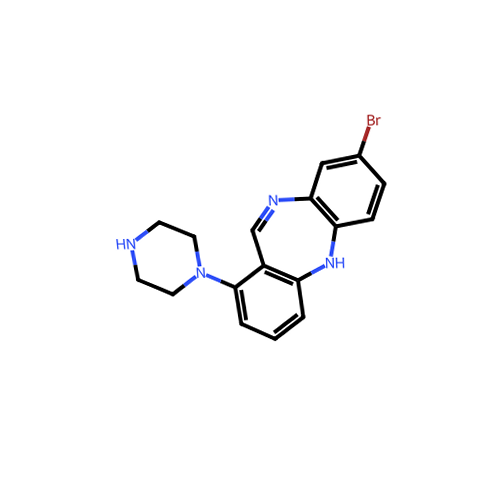 Brc1ccc2c(c1)N=Cc1c(cccc1N1CCNCC1)N2